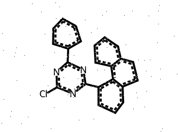 Clc1nc(-c2ccccc2)nc(-c2cccc3ccc4ccccc4c23)n1